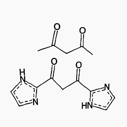 CC(=O)CC(C)=O.O=C(CC(=O)c1ncc[nH]1)c1ncc[nH]1